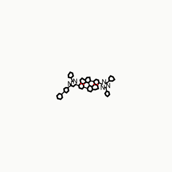 c1ccc(-c2ccc(-c3cc(-c4ccc(-c5ccc6ccccc6c5-c5c(-c6ccc(-c7nc(-c8ccccc8)nc(-c8ccccc8)n7)cc6)ccc6ccccc56)cc4)nc(-c4ccccc4)n3)cc2)cc1